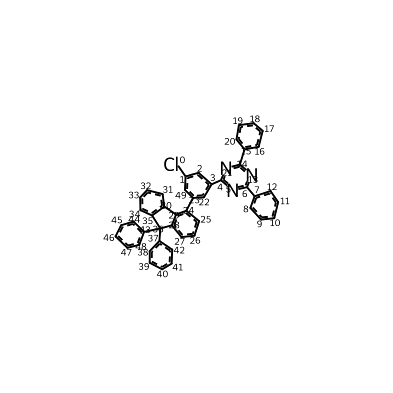 Clc1cc(-c2nc(-c3ccccc3)nc(-c3ccccc3)n2)cc(-c2cccc3c2-c2ccccc2C3(c2ccccc2)c2ccccc2)c1